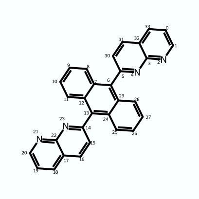 c1cnc2nc(-c3c4ccccc4c(-c4ccc5cccnc5n4)c4ccccc34)ccc2c1